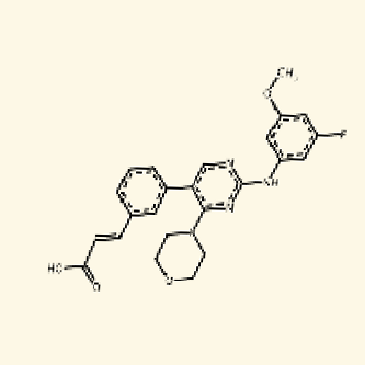 COc1cc(F)cc(Nc2ncc(-c3cccc(C=CC(=O)O)c3)c(N3CCOCC3)n2)c1